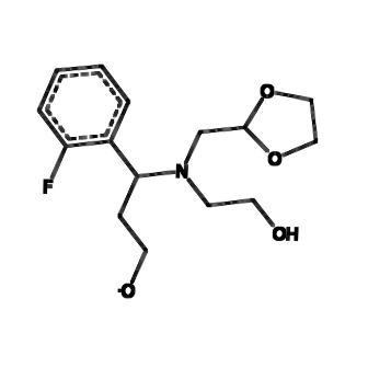 [O]CCC(c1ccccc1F)N(CCO)CC1OCCO1